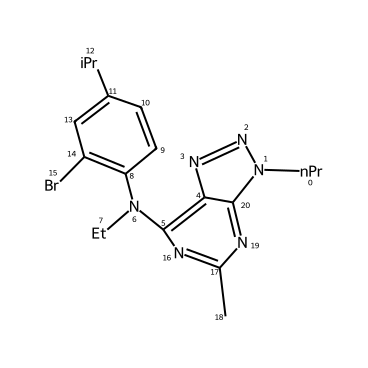 CCCn1nnc2c(N(CC)c3ccc(C(C)C)cc3Br)nc(C)nc21